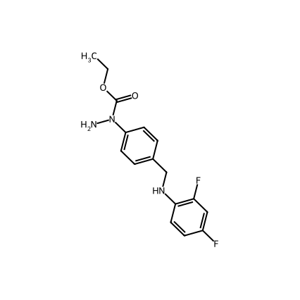 CCOC(=O)N(N)c1ccc(CNc2ccc(F)cc2F)cc1